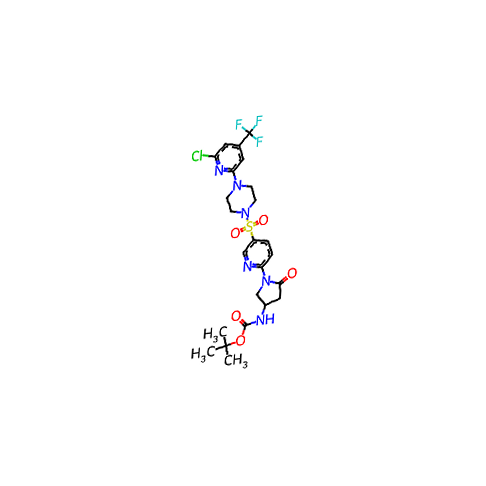 CC(C)(C)OC(=O)NC1CC(=O)N(c2ccc(S(=O)(=O)N3CCN(c4cc(C(F)(F)F)cc(Cl)n4)CC3)cn2)C1